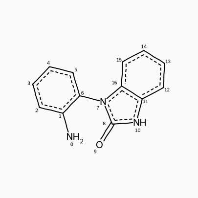 Nc1ccccc1-n1c(=O)[nH]c2ccccc21